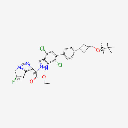 CCOC(=O)[C@@H](c1ncn2c1C[C@@H](F)C2)n1cc2c(Cl)cc(-c3ccc(C4CC(CO[Si](C)(C)C(C)(C)C)C4)cc3)c(Cl)c2n1